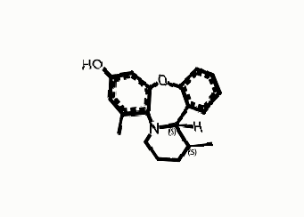 Cc1cc(O)cc2c1N1CCC[C@H](C)[C@H]1c1ccccc1O2